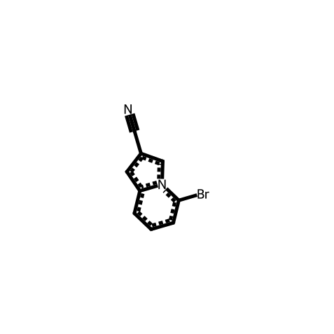 N#Cc1cc2cccc(Br)n2c1